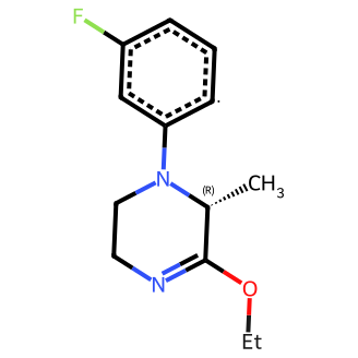 CCOC1=NCCN(c2[c]ccc(F)c2)[C@@H]1C